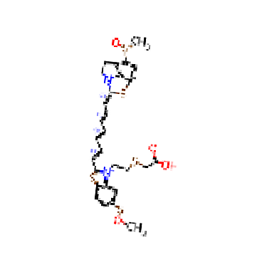 COSc1ccc2sc(/C=C/C=C/C=C/C=C3\Sc4ccc([S+](C)[O-])c5c4N3CC5)[n+](CCSCC(=O)O)c2c1